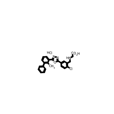 Cc1c(-c2ccccc2)cccc1-c1nnc(-c2ccc(Cl)c(CNCC(=O)O)c2)o1.Cl